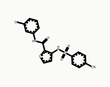 N#Cc1ccc(S(=O)(=O)Nc2ccsc2C(=O)Nc2cccc(Cl)c2)cc1